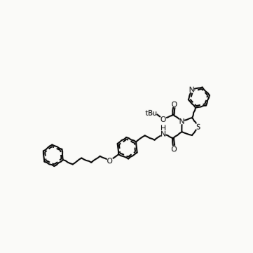 CC(C)(C)OC(=O)N1C(C(=O)NCCc2ccc(OCCCCc3ccccc3)cc2)CSC1c1cccnc1